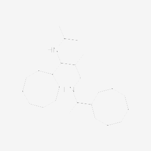 CC(C)NC(C1CCCCCCC1)C(C)[C@H](C)NC(C)C1CCCCCCC1